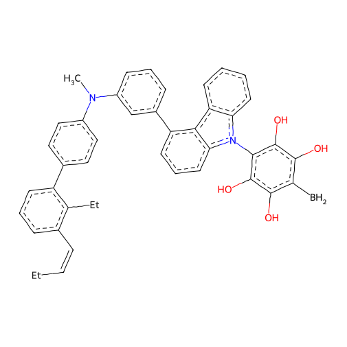 Bc1c(O)c(O)c(-n2c3ccccc3c3c(-c4cccc(N(C)c5ccc(-c6cccc(/C=C\CC)c6CC)cc5)c4)cccc32)c(O)c1O